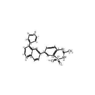 CC1=Nc2ccc(-c3ccc4nccc(-c5ccncc5)c4c3)cc2S(=O)(=O)N1